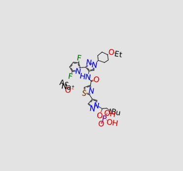 CC(=O)[O-].CCOC1CCC(n2cc(NC(=O)c3csc(-c4cnn(C(CC(C)(C)C)OP(=O)(O)O)c4)n3)c(-c3nc(F)ccc3F)n2)CC1.[Na+]